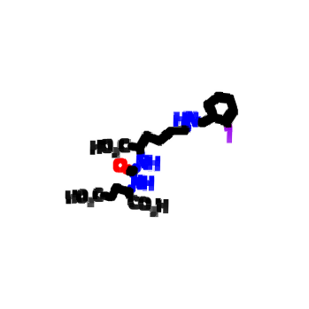 O=C(O)CCC(NC(=O)NC(CCCCNCc1ccccc1I)C(=O)O)C(=O)O